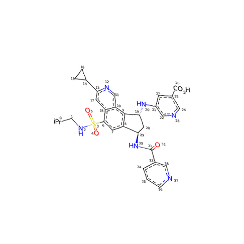 CC(C)CNS(=O)(=O)c1cc2c(c3cnc(C4CC4)cc13)[C@H](Nc1cncc(C(=O)O)c1)C[C@H]2NC(=O)c1cccnc1